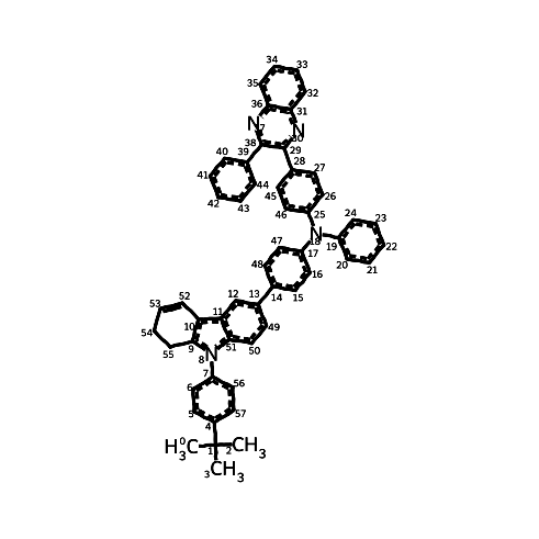 CC(C)(C)c1ccc(-n2c3c(c4cc(-c5ccc(N(c6ccccc6)c6ccc(-c7nc8ccccc8nc7-c7ccccc7)cc6)cc5)ccc42)C=CCC3)cc1